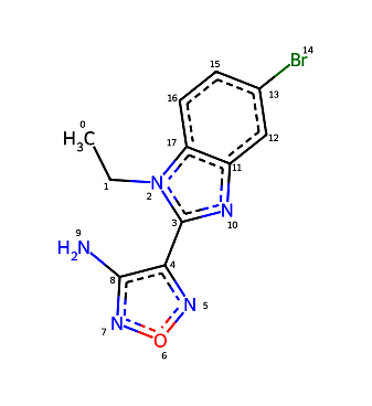 CCn1c(-c2nonc2N)nc2cc(Br)ccc21